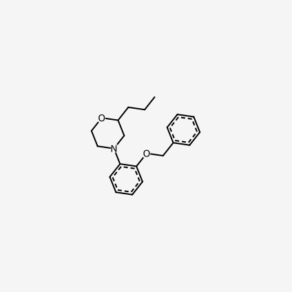 CCCC1CN(c2ccccc2OCc2ccccc2)CCO1